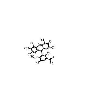 CCC(=O)c1cc(Cl)c(C(=O)O)c(-c2c3cc(Cl)c(=O)c(Cl)c-3oc3c(Cl)c(O)c(Cl)cc23)c1Cl